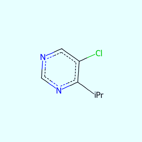 CC(C)c1ncncc1Cl